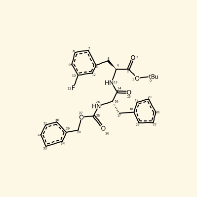 CC(C)(C)OC(=O)[C@H](Cc1cccc(F)c1)NC(=O)[C@H](Cc1ccccc1)NC(=O)OCc1ccccc1